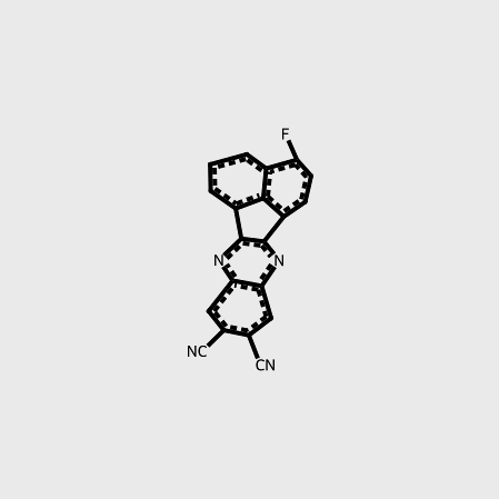 N#Cc1cc2nc3c(nc2cc1C#N)-c1ccc(F)c2cccc-3c12